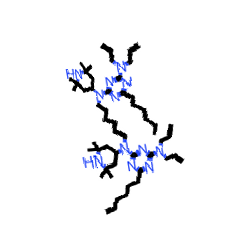 C=CCN(CC=C)c1nc(CCCCCC)nc(N(CCCCCCN(c2nc(CCCCCC)nc(N(CC=C)CC=C)n2)C2CC(C)(C)NC(C)(C)C2)C2CC(C)(C)NC(C)(C)C2)n1